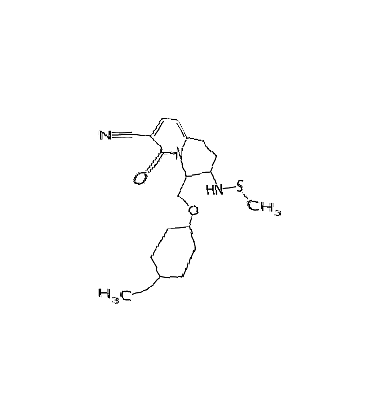 CCC1CCC(OCC2C(NSC)CCc3ccc(C#N)c(=O)n32)CC1